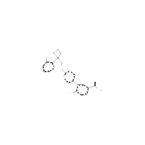 O=C(O)c1ccc(O)c(-c2cnc(NCC3(c4ncccc4F)CCC3)nc2)c1